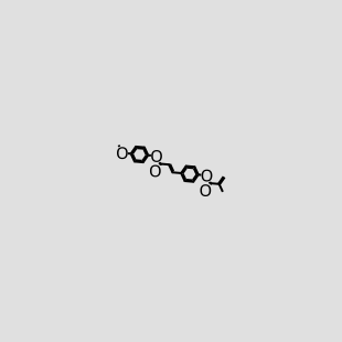 C=C(C)C(=O)Oc1ccc(C=CC(=O)Oc2ccc(OC)cc2)cc1